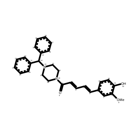 COc1cc(C=CC=CC(=O)N2CCN(C(c3ccccc3)c3ccccc3)CC2)ccc1O